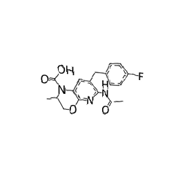 CC(=O)Nc1nc2c(cc1Cc1ccc(F)cc1)N(C(=O)O)C(C)CO2